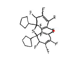 FC1=C(F)C(F)C(SC2(C3CCCC3)C(F)=C(F)C(F)=C(F)C2F)(C2CCCC2)C(F)=C1F